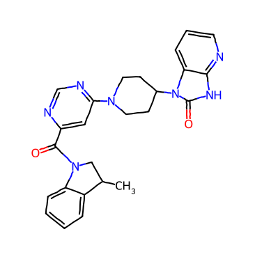 CC1CN(C(=O)c2cc(N3CCC(n4c(=O)[nH]c5ncccc54)CC3)ncn2)c2ccccc21